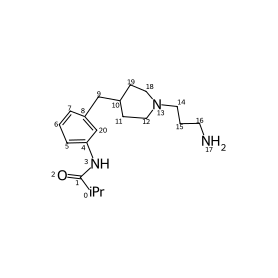 CC(C)C(=O)Nc1cccc(CC2CCN(CCCN)CC2)c1